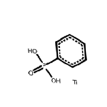 O=P(O)(O)c1ccccc1.[Ti]